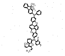 C=Cc1oc2c(N(c3ccc4c(c3)Oc3ccc5c6c(ccc-4c36)Oc3cc(N(c4ccccc4)c4ccc6c(c4)C(C)(C)c4ccccc4-6)ccc3-5)c3ccc(F)cc3F)cccc2c1/C=C\C